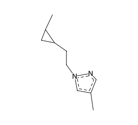 Cc1cnn(CCC2CC2C)c1